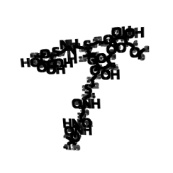 CC(C)OCC1OC(OCC2OC(OC(C)(C)C)C(OCCCSCCNC(=O)CCC(=O)NNC(=O)OC(C)(C)C)C(O)[C@@H]2C)C(OCCCSCCNC(=N)CS[C@@H]2OC(C)C(O)(O)C(O)C2O)C(O)[C@@H]1O